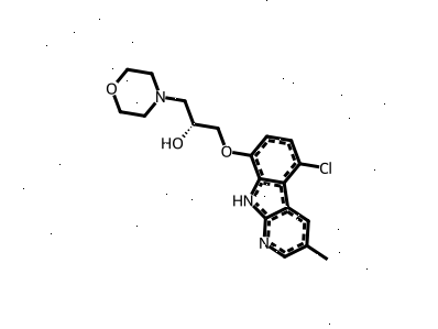 Cc1cnc2[nH]c3c(OC[C@H](O)CN4CCOCC4)ccc(Cl)c3c2c1